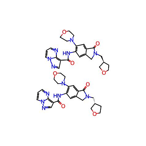 O=C(Nc1cc2c(cc1N1CCOCC1)C(=O)N(C[C@@H]1CCOC1)C2)c1cnn2cccnc12.O=C(Nc1cc2c(cc1N1CCOCC1)C(=O)N(C[C@H]1CCOC1)C2)c1cnn2cccnc12